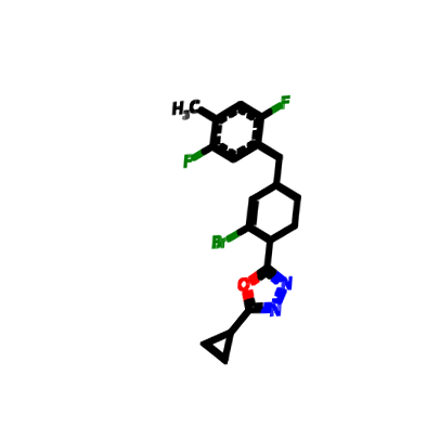 Cc1cc(F)c(CC2C=C(Br)C(c3nnc(C4CC4)o3)CC2)cc1F